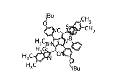 CCC(C)COc1ccc(-c2c3/c(=C(\C#N)c4nc5cc(C)c(C)cc5s4)n(B(c4ccccc4)c4ccccc4)c(-c4ccc(OCC(C)CC)cc4)c3/c(=C(\C#N)c3nc4cc(C)c(C)cc4s3)n2B(C)C)cc1